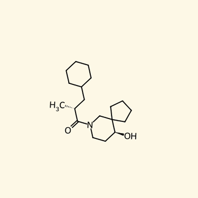 C[C@H](CC1CCCCC1)C(=O)N1CC[C@H](O)C2(CCCC2)C1